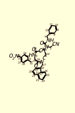 N#CCN(C(=O)NCc1ccccc1)N1CCN(Cc2cccc3ccccc23)C(=O)[C@H](Cc2ccc([N+](=O)[O-])cc2)NC(=O)C1